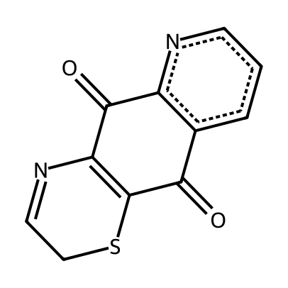 O=C1C2=C(N=CCS2)C(=O)c2ncccc21